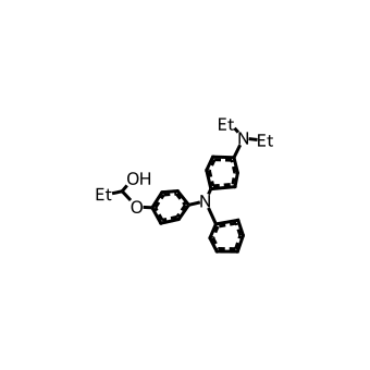 CCC(O)Oc1ccc(N(c2ccccc2)c2ccc(N(CC)CC)cc2)cc1